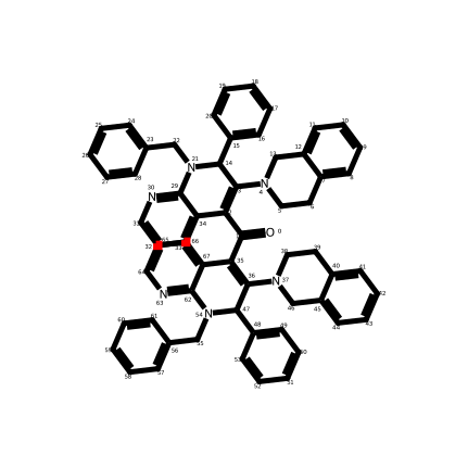 O=C(C1=C(N2CCc3ccccc3C2)C(c2ccccc2)N(Cc2ccccc2)c2ncccc21)C1=C(N2CCc3ccccc3C2)C(c2ccccc2)N(Cc2ccccc2)c2ncccc21